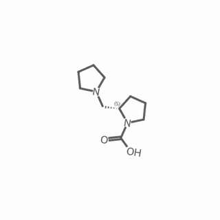 O=C(O)N1CCC[C@H]1CN1CCCC1